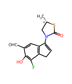 C[C@H]1CN(C2=CCc3c2cc(C=O)c(O)c3F)C(=O)S1